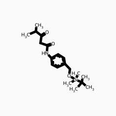 CC(C)C(=O)CC(=O)Nc1ccc(CO[Si](C)(C)C(C)(C)C)cc1